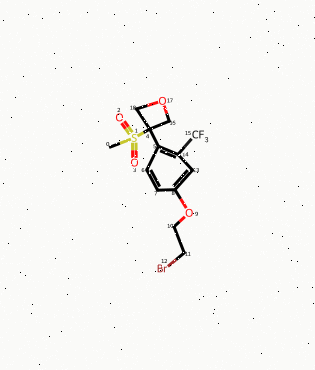 CS(=O)(=O)C1(c2ccc(OCCBr)cc2C(F)(F)F)COC1